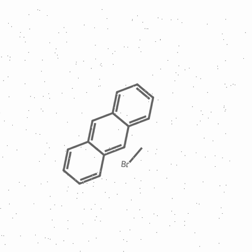 CBr.c1ccc2cc3ccccc3cc2c1